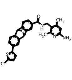 Cc1cc(N)nc(C)c1CNC(=O)c1ccc2c(c1)C1OC2c2ccc(-c3ccc(Cl)s3)cc21